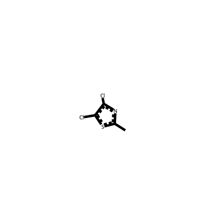 Cc1nc(Cl)c(Cl)s1